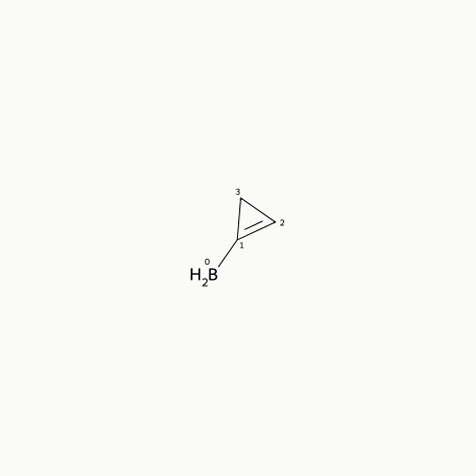 BC1=CC1